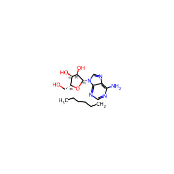 CCCCCC.Nc1ncnc2c1ncn2[C@@H]1O[C@H](CO)[C@@H](O)[C@H]1O